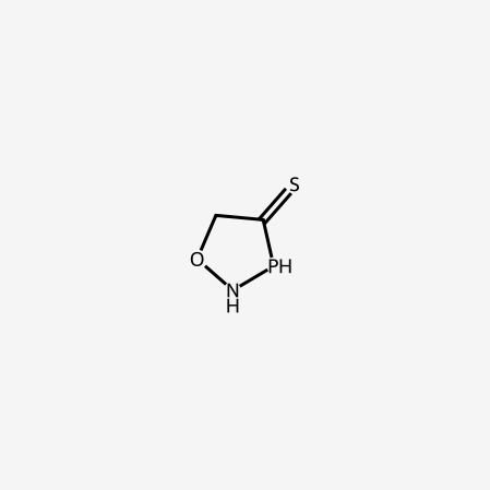 S=C1CONP1